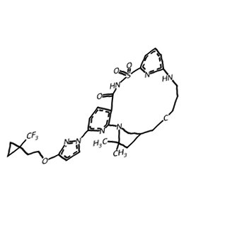 CC1(C)CC2CCCCCNc3cccc(n3)S(=O)(=O)NC(=O)c3ccc(-n4ccc(OCCC5(C(F)(F)F)CC5)n4)nc3N1C2